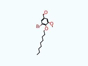 CCCCCCCCCOc1c(Br)cc(C=O)cc1OC